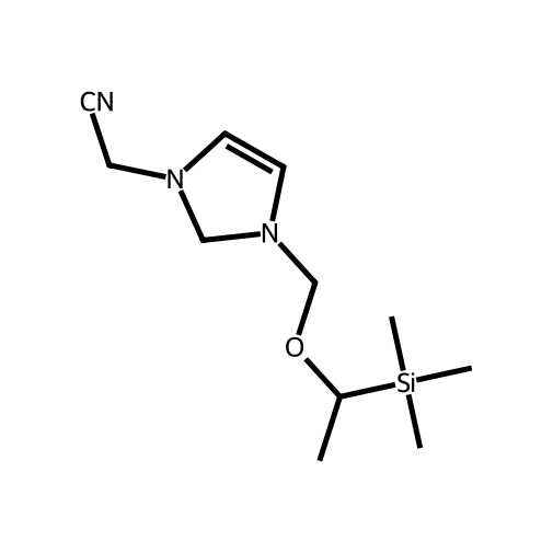 CC(OCN1C=CN(CC#N)C1)[Si](C)(C)C